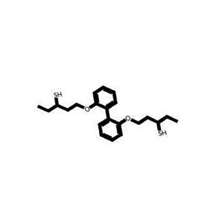 CCC(S)CCOc1ccccc1-c1ccccc1OCCC(S)CC